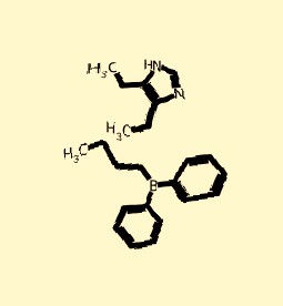 CCCCB(c1ccccc1)c1ccccc1.CCc1nc[nH]c1CC